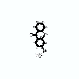 COc1ccc(C(=O)c2ccccc2)c(I)c1